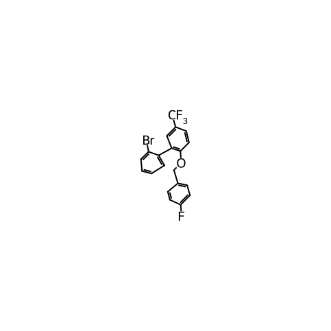 Fc1ccc(COc2ccc(C(F)(F)F)cc2-c2ccccc2Br)cc1